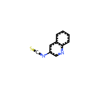 S=C=Nc1cnc2ccccc2c1